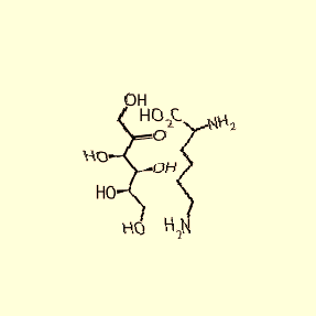 NCCCCC(N)C(=O)O.O=C(CO)[C@H](O)[C@@H](O)[C@H](O)CO